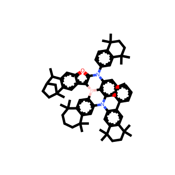 Cc1cc2c3c(c1)N(c1ccc4c(c1)C(C)(C)CCC4(C)C)c1oc4cc5c(cc4c1B3c1cc3c(cc1N2c1cc2c(cc1-c1ccccc1)C(C)(C)CCC2(C)C)C(C)(C)CCCC3(C)C)C1(C)CCC(C1)C5C